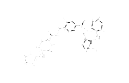 Cc1cc(C(=O)N2Cc3cnn(C)c3Nc3ccccc32)ccc1CCC(=O)N1CCC(NC2CCCC2)CC1